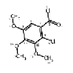 COc1cc(C(=O)Cl)c(Cl)c(OC)c1OC